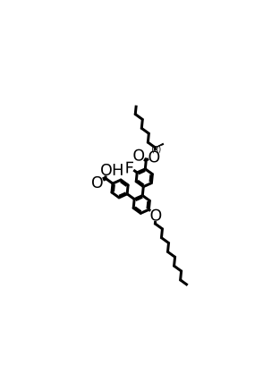 CCCCCCCCCCOc1ccc(-c2ccc(C(=O)O)cc2)c(-c2ccc(C(=O)O[C@H](C)CCCCCC)c(F)c2)c1